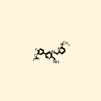 COc1cccc(CNc2cc(-c3ccc(F)c(OC(F)F)c3)cnc2C=N)n1